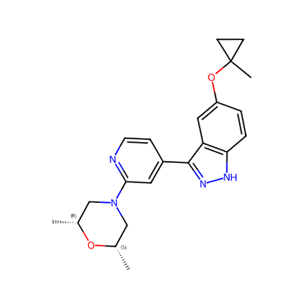 C[C@@H]1CN(c2cc(-c3n[nH]c4ccc(OC5(C)CC5)cc34)ccn2)C[C@H](C)O1